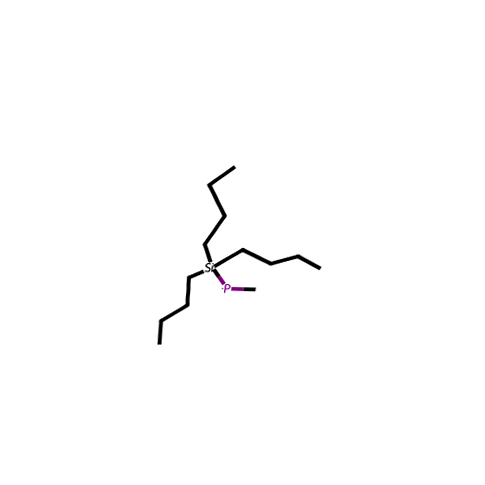 CCCC[Si](CCCC)(CCCC)[P]C